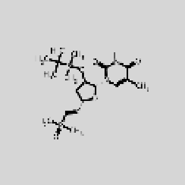 Cc1cn([C@@H]2O[C@H](/C=C/P(C)(C)=O)CC2O[Si](C)(C)C(C)(C)C)c(=O)[nH]c1=O